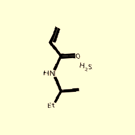 C=CC(=O)NC(C)CC.S